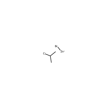 [CH2-]C(C)C.[Zn+][Br]